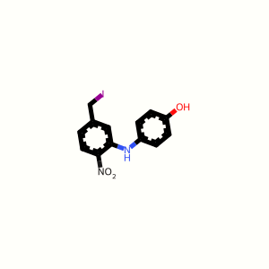 O=[N+]([O-])c1ccc(CI)cc1Nc1ccc(O)cc1